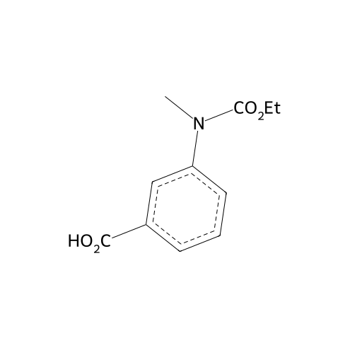 CCOC(=O)N(C)c1cccc(C(=O)O)c1